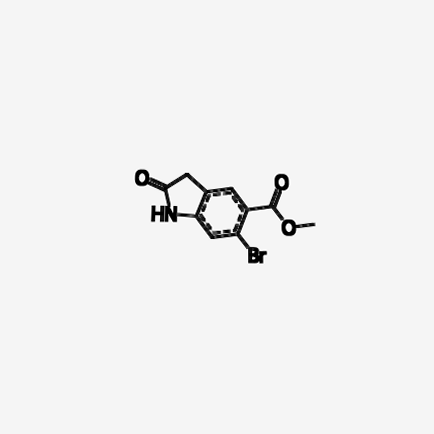 COC(=O)c1cc2c(cc1Br)NC(=O)C2